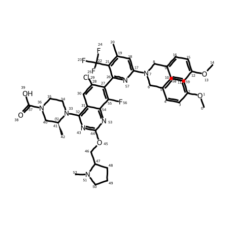 COc1ccc(CN(Cc2ccc(OC)cc2)c2cc(C)c(C(F)(F)F)c(-c3c(Cl)cc4c(N5CCN(C(=O)O)C[C@@H]5C)nc(OCC5CCCN5C)nc4c3F)n2)cc1